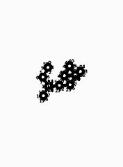 c1ccc(-c2cccc(-c3cc(-c4ccccc4)nc(-c4ccc(-c5cccc(-c6nc7ccccc7c7c8ccccc8c8ccccc8c67)c5)cc4)n3)c2)cc1